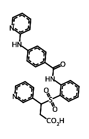 O=C(O)CC(c1cccnc1)S(=O)(=O)c1ccccc1NC(=O)c1ccc(Nc2ccccn2)cc1